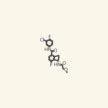 COCC(=O)N[C@H]1CCc2c(C(=O)Nc3ccc(F)c(Cl)c3)ccc(F)c21